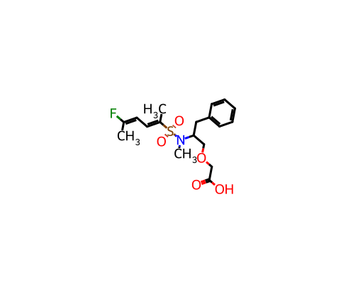 C/C(F)=C\C=C(/C)S(=O)(=O)N(C)C(COCC(=O)O)Cc1ccccc1